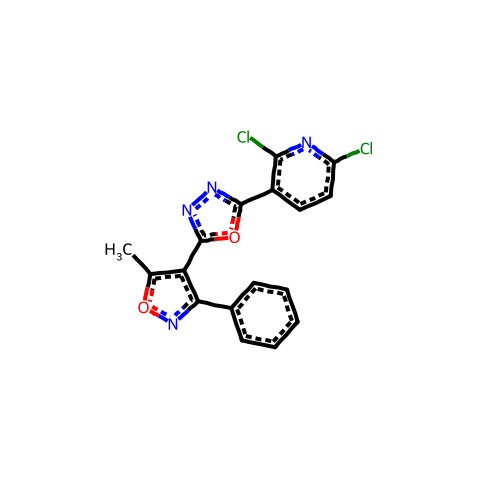 Cc1onc(-c2ccccc2)c1-c1nnc(-c2ccc(Cl)nc2Cl)o1